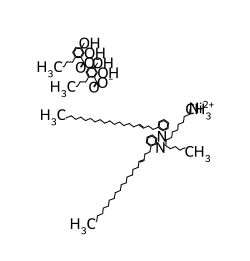 CCCCCCCCCCCCCCCCC=CCCc1ccccc1N=C(CCCCC)C(CCCCCCCC)=Nc1ccccc1CCC=CCCCCCCCCCCCCCCCC.CCCCc1ccc(O)c(O)c1C(=O)[O-].CCCCc1ccc(O)c(O)c1C(=O)[O-].[Ni+2]